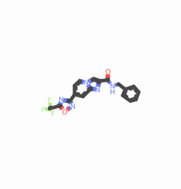 O=C(NCc1ccccc1)c1cn2ccc(-c3noc(C(F)(F)F)n3)cc2n1